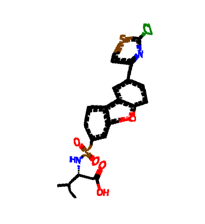 CC(C)[C@H](NS(=O)(=O)c1ccc2c(c1)oc1ccc(-c3csc(Cl)n3)cc12)C(=O)O